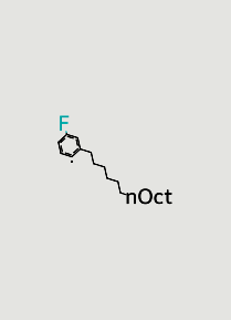 CCCCCCCCCCCCCCc1[c]ccc(F)c1